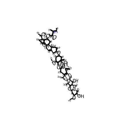 C/C=C(\C)C(=O)O[C@@H]1CC2C(CC=C3C[C@@H](OC4CC(OC)C(OC5CC(OC)C(OC6OC(C)C(OC7CC(OC)C(O)C(C)O7)C(OC)C6O)C(C)O5)C(C)(O)C4)CC[C@@]32C)[C@@]2(O)CCC(C(C)=O)[C@@]12C